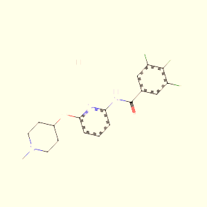 CN1CCC(Oc2cccc(NC(=O)c3cc(F)c(F)c(F)c3)n2)CC1.[Cl-].[H+]